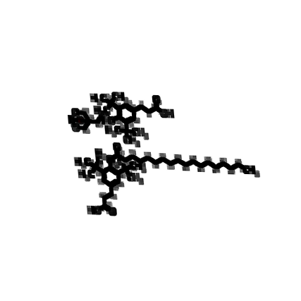 CC(C)(C)c1cc(CCC(=O)O)cc(C(C)(C)C)c1O.CCCCCCCCCCCCCCCCCC(=O)Oc1c(C(C)(C)C)cc(CCC(=O)O)cc1C(C)(C)C.[Zn][CH2]C12COP(OC1)OC2